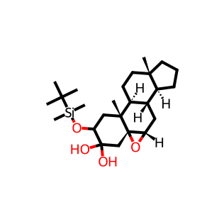 CC(C)(C)[Si](C)(C)OC1C[C@]2(C)[C@H]3CC[C@]4(C)CCC[C@H]4[C@@H]3C[C@@H]3O[C@@]32CC1(O)O